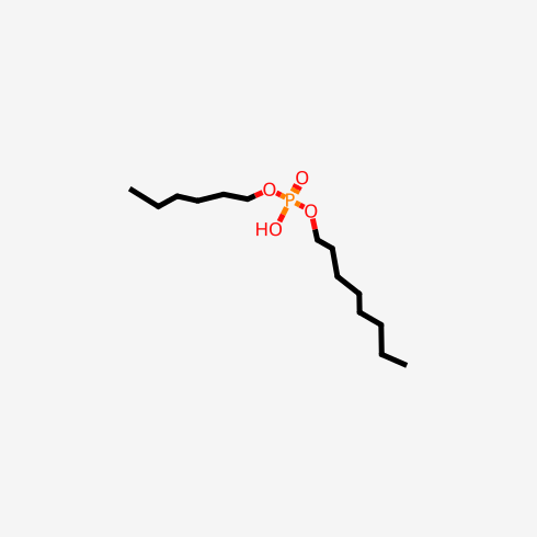 CCCCCCCCOP(=O)(O)OCCCCCC